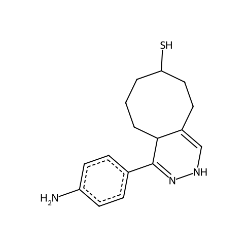 Nc1ccc(C2=NNC=C3CCC(S)CCCC32)cc1